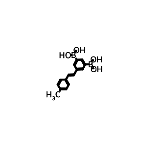 Cc1ccc(/C=C/c2cc(B(O)O)cc(B(O)O)c2)cc1